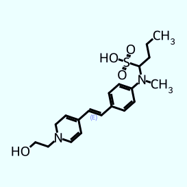 CCCC(N(C)c1ccc(/C=C/C2=CCN(CCO)C=C2)cc1)S(=O)(=O)O